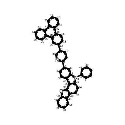 c1ccc(-n2c3cc(-c4ccc(-c5ccc6c7ccccc7c7ccccc7c6c5)cn4)ccc3c3c4oc5ccccc5c4ccc32)cc1